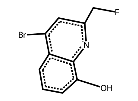 Oc1cccc2c(Br)cc(CF)nc12